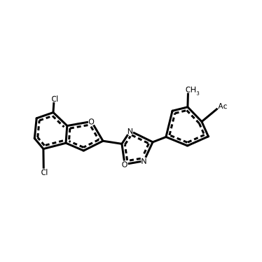 CC(=O)c1ccc(-c2noc(-c3cc4c(Cl)ccc(Cl)c4o3)n2)cc1C